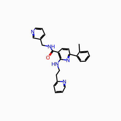 Cc1ccccc1-c1ccc(C(=O)NCc2cccnc2)c(NCCc2ccccn2)n1